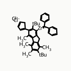 Cc1c(C)c(C(C)(C)C)c(C)c2c1-c1c(C)c(C3=CC=CC3)c(C(C)(C)C)[c]([Zr+2]=[C](c3ccccc3)c3ccccc3)c1C2.[Cl-].[Cl-]